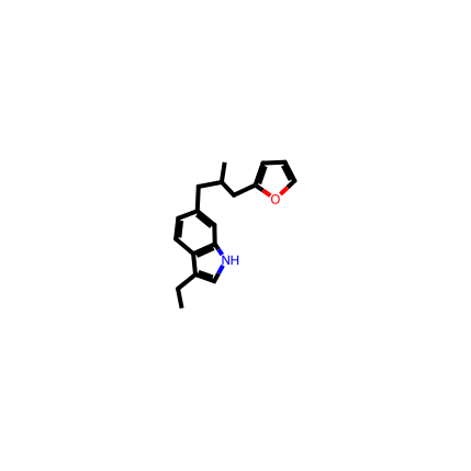 CCc1c[nH]c2cc(CC(C)Cc3ccco3)ccc12